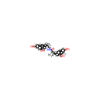 C[C@H](CCCNC(=O)CC[C@@H](C)[C@H]1CCC2[C@@H]3[C@@H](O)CC4C[C@H](O)CC[C@]4(C)[C@H]3CC[C@@]21C)[C@H]1CCC2[C@@H]3[C@@H](O)CC4C[C@H](O)CC[C@]4(C)[C@H]3CC[C@@]21C